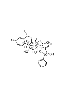 CC1C[C@H]2[C@@H]3CC(F)C4=CC(=O)C=C[C@]4(C)[C@@]3(F)[C@@H](O)C[C@]2(C)[C@]1(OC(=O)c1ccccc1)C(=O)CO